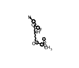 COc1ccc(C2CC(=O)N(CCCCCNCCCC3(c4ccc(F)cc4)Cc4ccc(C#N)cc4O3)C2)cc1OC1CCCC1